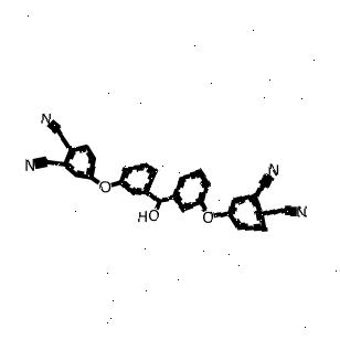 N#Cc1ccc(Oc2cccc(C(O)c3cccc(Oc4ccc(C#N)c(C#N)c4)c3)c2)cc1C#N